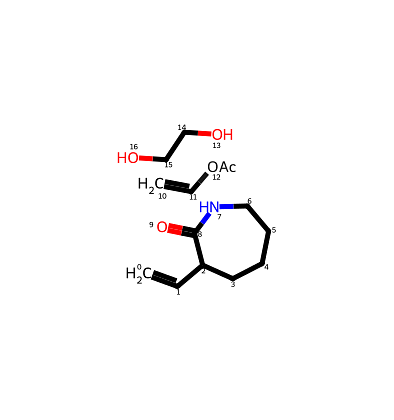 C=CC1CCCCNC1=O.C=COC(C)=O.OCCO